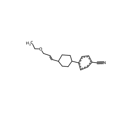 CCOC/C=C/C1CCC(c2ccc(C#N)cc2)CC1